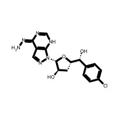 N/N=c1/nc[nH]c2c1cnn2[C@@H]1O[C@H]([C@H](O)c2ccc(Cl)cc2)C[C@H]1O